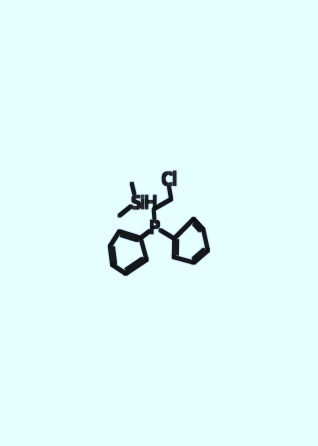 C[SiH](C)C(CCl)P(c1ccccc1)c1ccccc1